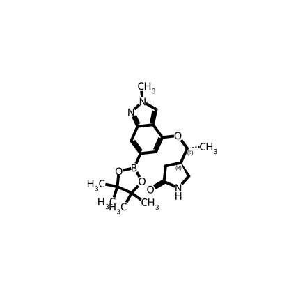 C[C@@H](Oc1cc(B2OC(C)(C)C(C)(C)O2)cc2nn(C)cc12)[C@H]1CNC(=O)C1